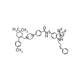 Cc1ccc(C2=C(CN3CCN(c4ccc(C(=O)NSc5ccc(NCCSc6ccccc6)c(S(=O)(=O)C(F)(F)F)c5)cc4)CC3)CC(C)(C)CC2)cc1